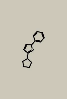 C1=CC(C2CCCC2)=P[C]1c1ccccc1